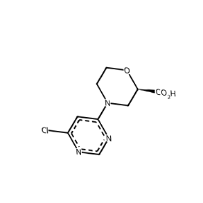 O=C(O)[C@H]1CN(c2cc(Cl)ncn2)CCO1